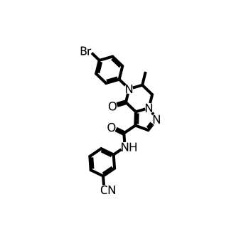 CC1Cn2ncc(C(=O)Nc3cccc(C#N)c3)c2C(=O)N1c1ccc(Br)cc1